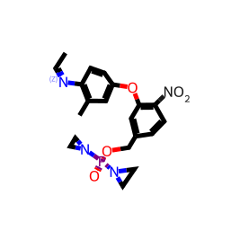 C/C=N\c1ccc(Oc2cc(COP(=O)(N3CC3)N3CC3)ccc2[N+](=O)[O-])cc1C